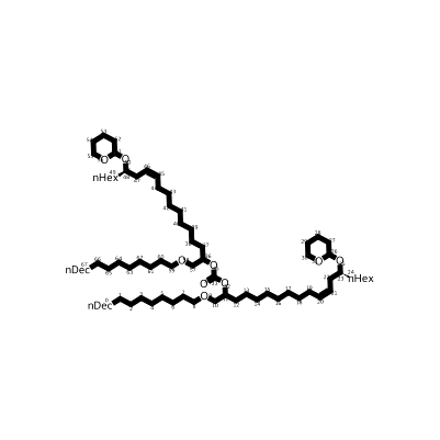 CCCCCCCCCCCCCCCCCCOCC(CCCCCCCC/C=C\C[C@@H](CCCCCC)OC1CCCCO1)OC(=O)OC(CCCCCCCC/C=C\C[C@@H](CCCCCC)OC1CCCCO1)COCCCCCCCCCCCCCCCCCC